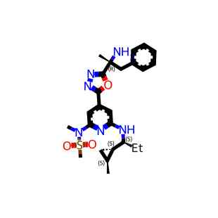 CC[C@H](Nc1cc(-c2nnc([C@](C)(N)Cc3ccccc3)o2)cc(N(C)S(C)(=O)=O)n1)[C@H]1C[C@@H]1C